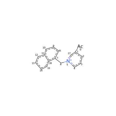 CC(=O)c1ccc[n+](Cc2cccc3ccccc23)c1